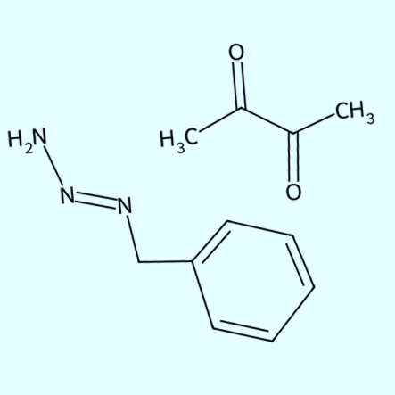 CC(=O)C(C)=O.NN=NCc1ccccc1